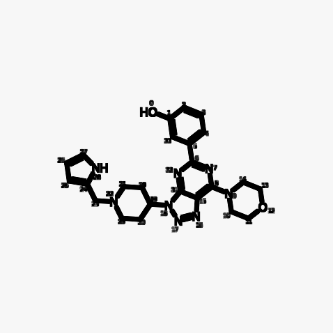 Oc1cccc(-c2nc(N3CCOCC3)c3nnn(C4CCN(Cc5ccc[nH]5)CC4)c3n2)c1